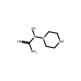 CCCN(C(=N)N)N1CCNCC1